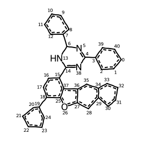 c1ccc(C2=NC(c3ccccc3)NC(c3ccc(-c4ccccc4)c4oc5cc6ccccc6cc5c34)=N2)cc1